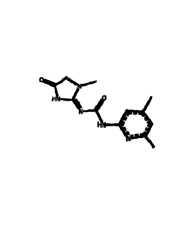 Cc1cc(C)nc(NC(=O)N=C2NC(=O)CN2C)c1